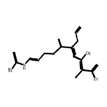 C=CC/C(=C\C(C#N)=C(/C)C(=C)CC)C(C)CC/C=C/NC(=C)CC